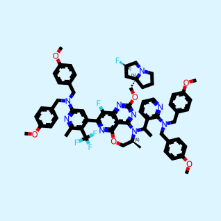 COc1ccc(CN(Cc2ccc(OC)cc2)c2cc(-c3nc4c5c(nc(OC[C@@]67CCCN6C[C@H](F)C7)nc5c3F)N(C(C)c3cccnc3N(Cc3ccc(OC)cc3)Cc3ccc(OC)cc3)[C@@H](C)CO4)c(C(F)(F)F)c(C)n2)cc1